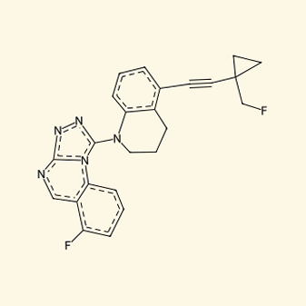 FCC1(C#Cc2cccc3c2CCCN3c2nnc3ncc4c(F)cccc4n23)CC1